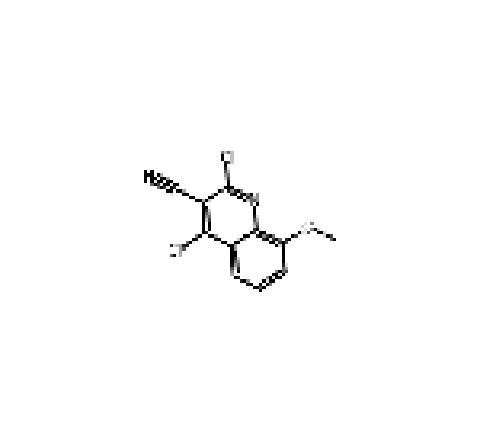 COc1cccc2c(Cl)c(C#N)c(Cl)nc12